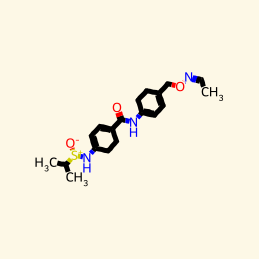 C/C=N\OCC1=CC=C(NC(=O)C2=CC=C(N[S+]([O-])C(C)C)CC2)CC1